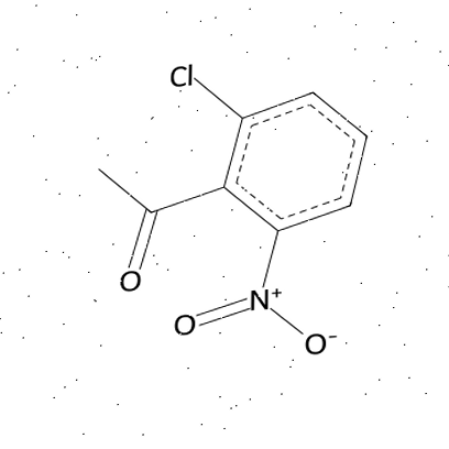 CC(=O)c1c(Cl)cccc1[N+](=O)[O-]